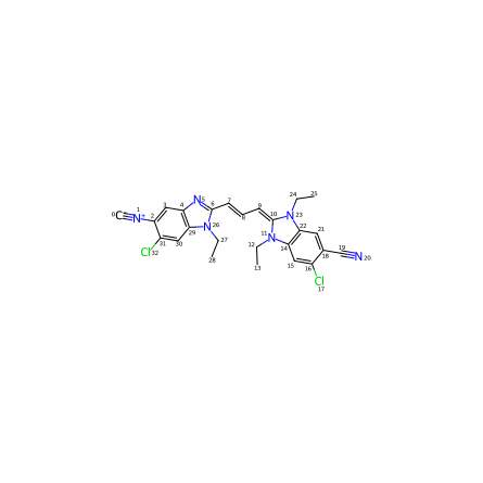 [C-]#[N+]c1cc2nc(C=CC=C3N(CC)c4cc(Cl)c(C#N)cc4N3CC)n(CC)c2cc1Cl